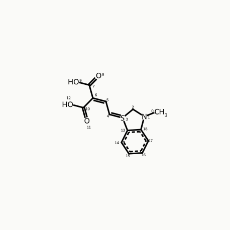 CN1CS(=CC=C(C(=O)O)C(=O)O)c2ccccc21